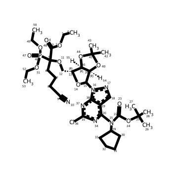 CCOC(=O)C(CCCC#N)(OC[C@H]1OC(n2ncc3c(N(C(=O)OC(C)(C)C)C4CCCC4)nc(Cl)nc32)[C@@H]2OC(C)(C)O[C@H]12)P(=O)(OCC)OCC